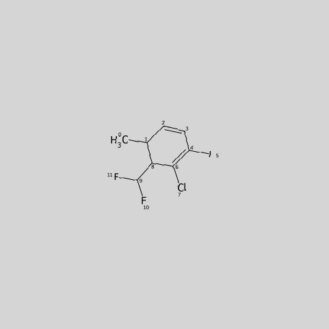 CC1C=CC(I)=C(Cl)C1C(F)F